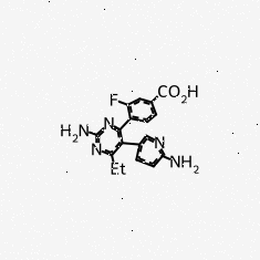 CCc1nc(N)nc(-c2ccc(C(=O)O)cc2F)c1-c1ccc(N)nc1